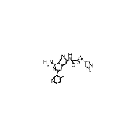 Cc1ccncc1-c1cc2cc(NC(=O)[C@H]3C[C@@H]3C3C=NN(C)C3)ncc2c(N)n1